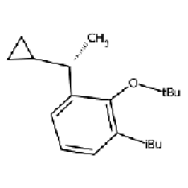 CCC(C)c1cccc([C@@H](C)C2CC2)c1OC(C)(C)C